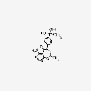 C[C@@H]1CN(c2ccc(C(C)(C)O)cc2)C(=O)c2c(N)ncnc2O1